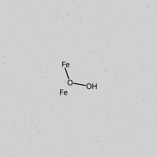 O[O][Fe].[Fe]